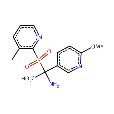 COc1ccc(C(N)(C(=O)O)S(=O)(=O)c2ncccc2C)cn1